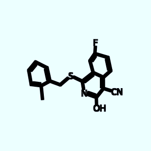 Cc1ccccc1CSc1nc(O)c(C#N)c2ccc(F)cc12